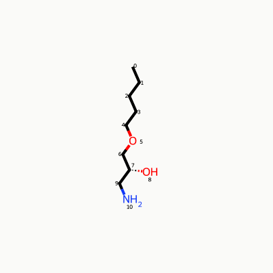 CCCCCOC[C@H](O)CN